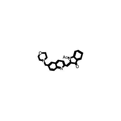 CC(=O)N1/C(=C\c2ccc3cc(CN4CCOCC4)ccc3n2)C(=O)c2ccccc21